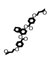 O=C(Oc1ccc(OC(=O)c2ccc(OCCC3CO3)cc2)c2c1C1CCC2C1)c1ccc(OCCC2CO2)cc1